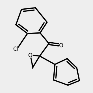 O=C(c1ccccc1Cl)C1(c2ccccc2)CO1